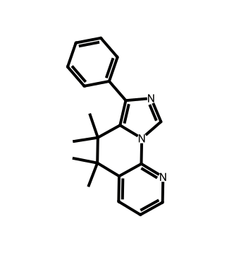 CC1(C)c2cccnc2-n2cnc(-c3ccccc3)c2C1(C)C